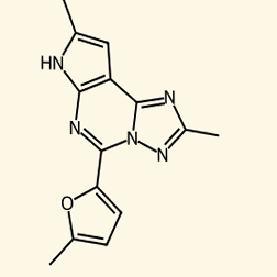 Cc1nc2c3cc(C)[nH]c3nc(-c3ccc(C)o3)n2n1